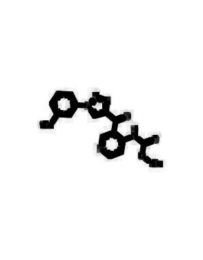 CC(C)(C)OC(=O)Nc1ccncc1C(=O)c1cn(-c2cccc(C(C)(C)C)c2)nn1